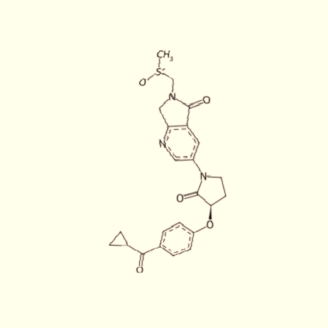 C[S+]([O-])CN1Cc2ncc(N3CC[C@@H](Oc4ccc(C(=O)C5CC5)cc4)C3=O)cc2C1=O